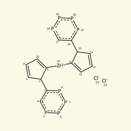 C1=CC(c2cpppp2)[C]([Zr+2][C]2=CC=CC2c2cpppp2)=C1.[Cl-].[Cl-]